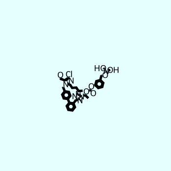 CCCCc1nc(Cl)c(C=O)n1Cc1ccc(-c2ccccc2-c2nnn(C(C)OC(=O)Oc3cccc(CON(O)O)c3)n2)cc1